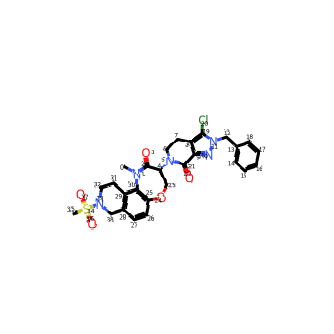 CN1C(=O)[C@@H](N2CCc3c(nn(Cc4ccccc4)c3Cl)C2=O)COc2ccc3c(c21)CCN(S(C)(=O)=O)C3